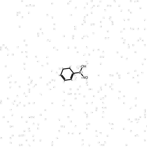 O=NB(O)C1=CC=CCC1